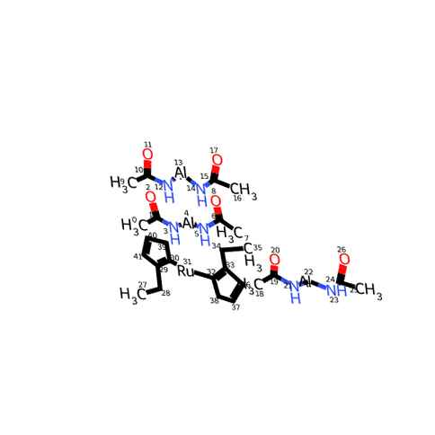 CC(=O)[NH][Al][NH]C(C)=O.CC(=O)[NH][Al][NH]C(C)=O.CC(=O)[NH][Al][NH]C(C)=O.CCC1=[C]([Ru][C]2=C(CC)C=CC2)CC=C1